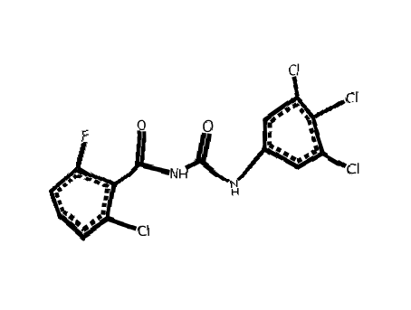 O=C(NC(=O)c1c(F)cccc1Cl)Nc1cc(Cl)c(Cl)c(Cl)c1